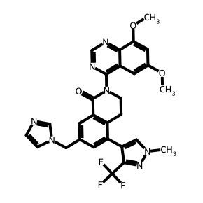 COc1cc(OC)c2ncnc(N3CCc4c(cc(Cn5ccnc5)cc4-c4cn(C)nc4C(F)(F)F)C3=O)c2c1